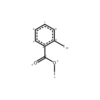 O=C(OI)c1ccccc1I